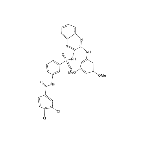 COc1cc(Nc2nc3ccccc3nc2NS(=O)(=O)c2cccc(NC(=O)c3ccc(Cl)c(Cl)c3)c2)cc(OC)c1